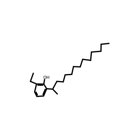 CCCCCCCCCCCCC(C)c1cccc(CC)c1O